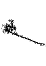 COCCOCCOCCOCCOCCOCCOCCOCCOCCOCC(=O)NCCCC[C@H](NC(=O)CCCN1C(=O)C=CC1=O)C(=O)N[C@@H](C)C(=O)N[C@@H](C)C(=O)N[C@@H](C)C(=O)Nc1cc(C[C@H](N)CCC(=O)O)ccc1O